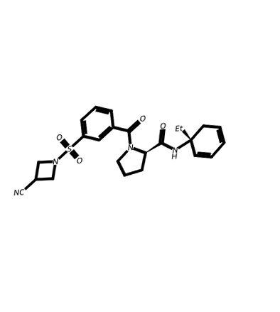 CC[C@]1(NC(=O)[C@H]2CCCN2C(=O)c2cccc(S(=O)(=O)N3CC(C#N)C3)c2)C=CC=CC1